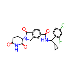 O=C1CCC(N2Cc3cc(C(=O)NC(c4ccc(Cl)cc4F)C4CC4)ccc3C2=O)C(=O)N1